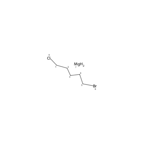 ClCCCCCBr.[MgH2]